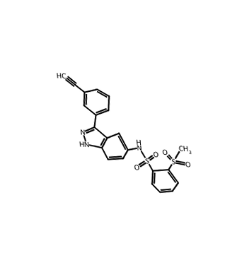 C#Cc1cccc(-c2n[nH]c3ccc(NS(=O)(=O)c4ccccc4S(C)(=O)=O)cc23)c1